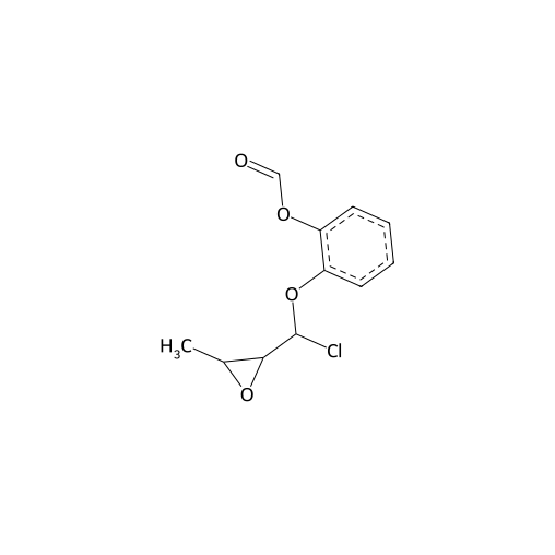 CC1OC1C(Cl)Oc1ccccc1OC=O